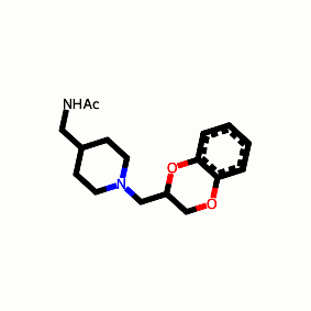 CC(=O)NCC1CCN(CC2COc3ccccc3O2)CC1